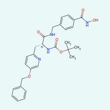 CC(C)(C)OC(=O)N[C@H](Cc1ccc(OCc2ccccc2)cn1)C(=O)NCc1ccc(C(=O)NO)cc1